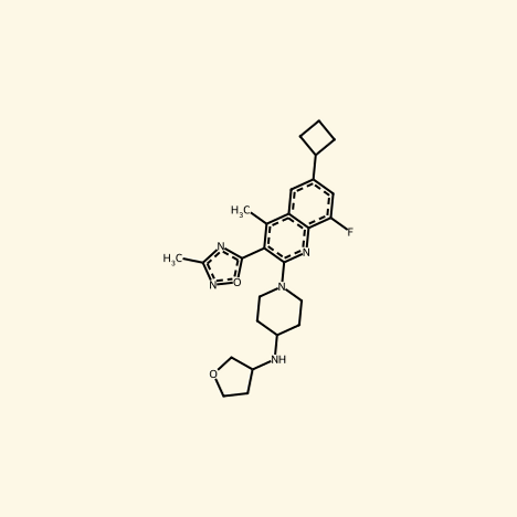 Cc1noc(-c2c(N3CCC(NC4CCOC4)CC3)nc3c(F)cc(C4CCC4)cc3c2C)n1